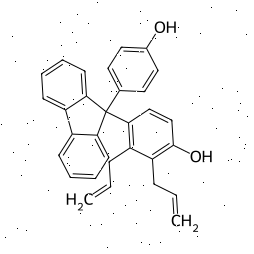 C=CCc1c(O)ccc(C2(c3ccc(O)cc3)c3ccccc3-c3ccccc32)c1CC=C